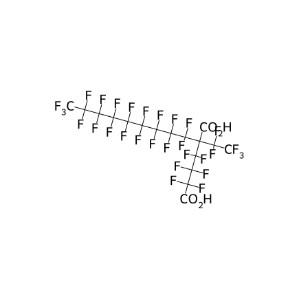 O=C(O)C(F)(F)C(F)(F)C(F)(F)C(C(=O)O)(C(F)(F)C(F)(F)F)C(F)(F)C(F)(F)C(F)(F)C(F)(F)C(F)(F)C(F)(F)C(F)(F)C(F)(F)C(F)(F)F